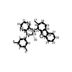 Cc1cc(C)cc(N2c3nccnc3N(c3c(C)ccc4c3oc3ccccc34)[C@@H]2C)c1